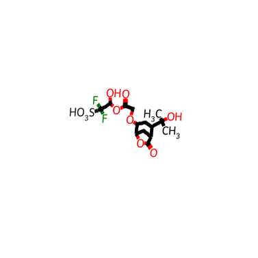 CC(C)(O)C1CC(OCC(=O)OC(O)C(F)(F)S(=O)(=O)O)C2CC1C(=O)O2